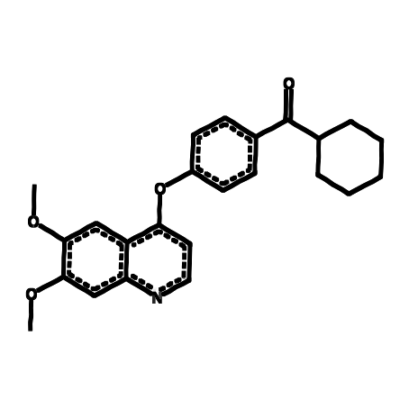 COc1cc2nccc(Oc3ccc(C(=O)C4CCCCC4)cc3)c2cc1OC